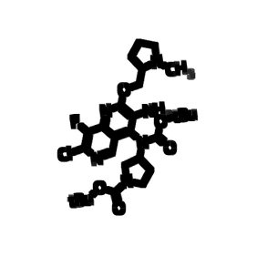 CN1CCCC1COc1nc2c(F)c(Cl)ncc2c(N(C(=O)OC(C)(C)C)C2CCN(C(=O)OC(C)(C)C)C2)c1N